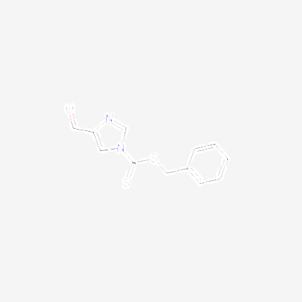 O=Cc1cn(C(=S)SCc2ccccc2)cn1